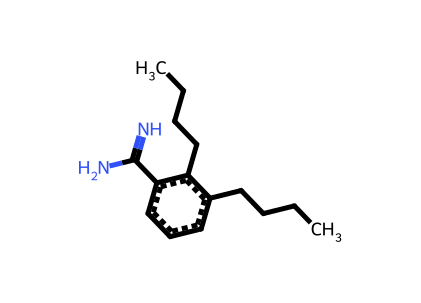 CCCCc1cccc(C(=N)N)c1CCCC